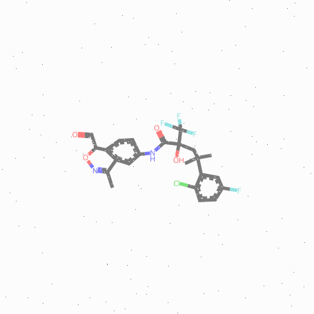 CC1=NOC(C=O)c2ccc(NC(=O)C(O)(CC(C)(C)c3cc(F)ccc3Cl)C(F)(F)F)cc21